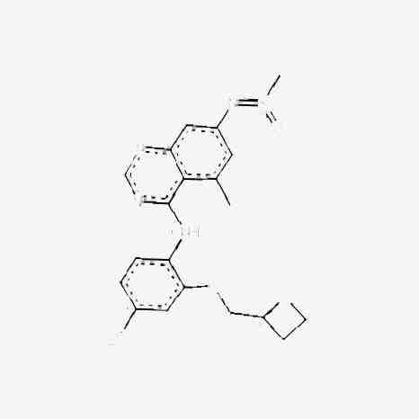 Cc1cc(/N=[SH](/C)=O)cc2ncnc(Nc3ccc(F)cc3OCC3CCO3)c12